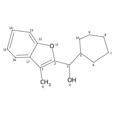 Cc1c(C(O)C2CCCCC2)oc2ccccc12